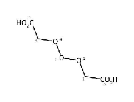 O=C(O)COOOCC(=O)O